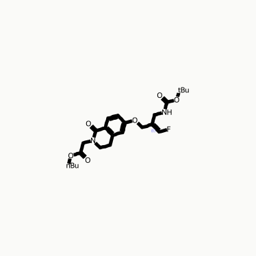 CCCCOC(=O)CN1CCc2cc(OC/C(=C/F)CNC(=O)OC(C)(C)C)ccc2C1=O